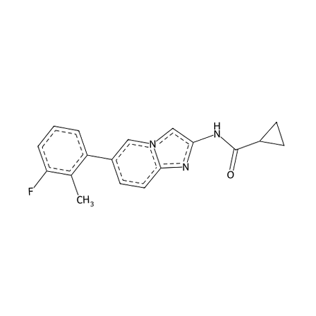 Cc1c(F)cccc1-c1ccc2nc(NC(=O)C3CC3)cn2c1